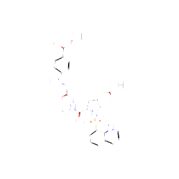 COC(=O)c1ccc(NCC(=O)CN(C)C(=O)C2CC(SC(C)=O)CN2S(=O)(=O)c2cccc3cccnc23)cc1